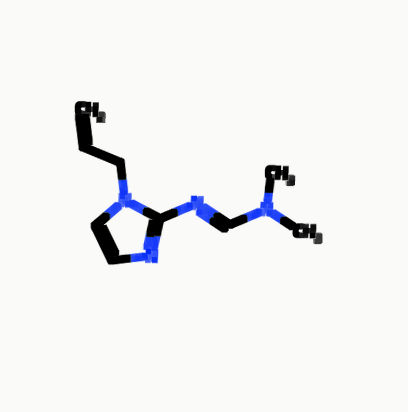 C=CCn1ccnc1N=CN(C)C